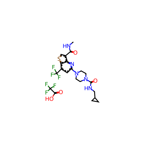 CNC(=O)c1csc2c(C(F)(F)F)cc(N3CCN(C(=O)NCC4CC4)CC3)nc12.O=C(O)C(F)(F)F